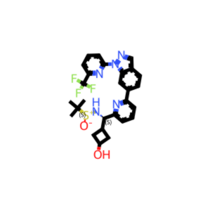 CC(C)(C)[S@@+]([O-])N[C@H](c1cccc(-c2ccc3cnn(-c4cccc(C(F)(F)F)n4)c3c2)n1)C1CC(O)C1